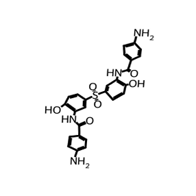 Nc1ccc(C(=O)Nc2cc(S(=O)(=O)c3ccc(O)c(NC(=O)c4ccc(N)cc4)c3)ccc2O)cc1